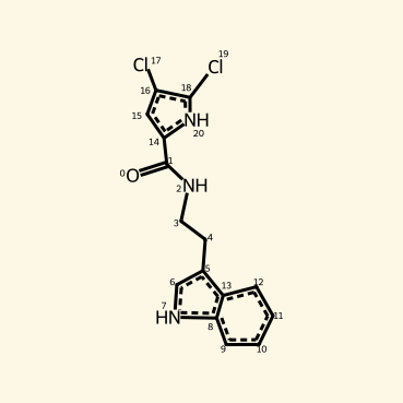 O=C(NCCc1c[nH]c2ccccc12)c1cc(Cl)c(Cl)[nH]1